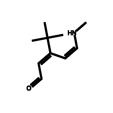 CN/C=C\C(=C/C=O)C(C)(C)C